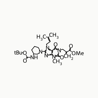 C=C(Cn1c(=O)c2c(nc(N3CCCC(NC(=O)OC(C)(C)C)C3)n2CC=C(C)C)n(C)c1=O)C(=O)OC